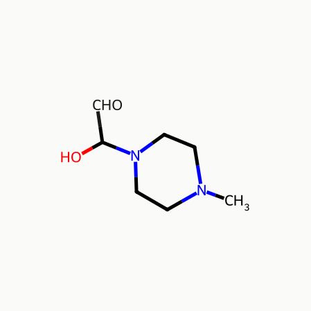 CN1CCN(C(O)C=O)CC1